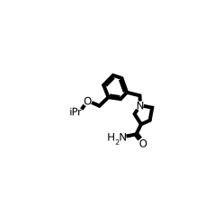 CC(C)OCc1cccc(CN2CCC(C(N)=O)C2)c1